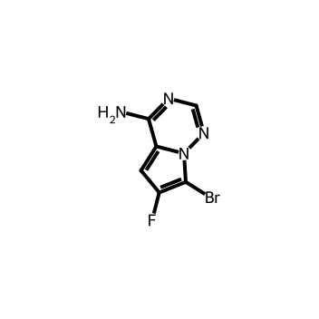 Nc1ncnn2c(Br)c(F)cc12